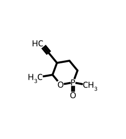 C#CC1CCP(C)(=O)OC1C